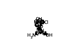 CS(=O)(=O)Nc1ccc(Cl)cc1C(=O)N1CCCC[C@H]1c1cc2nc(N3CC(O)C3)cc(N3CC(N)C3)n2n1